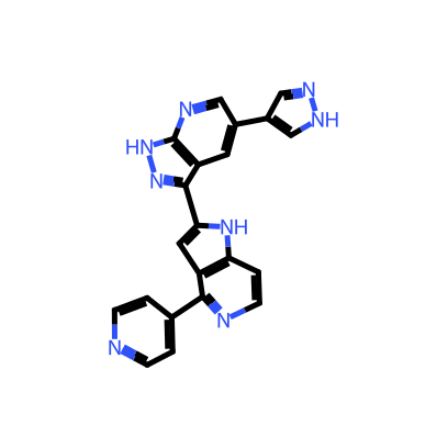 c1cc(-c2nccc3[nH]c(-c4n[nH]c5ncc(-c6cn[nH]c6)cc45)cc23)ccn1